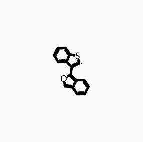 [c]1sc2ccccc2c1-c1occ2ccccc12